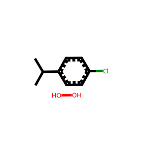 CC(C)c1ccc(Cl)cc1.OO